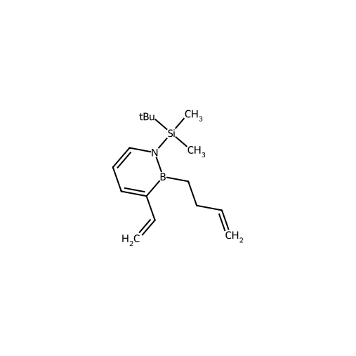 C=CCCB1C(C=C)=CC=CN1[Si](C)(C)C(C)(C)C